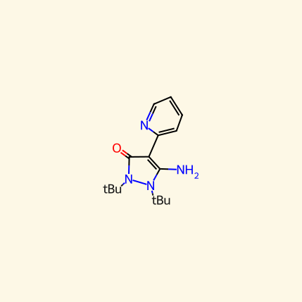 CC(C)(C)n1c(N)c(-c2ccccn2)c(=O)n1C(C)(C)C